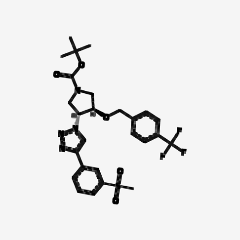 CC(C)(C)OC(=O)N1C[C@@H](n2cc(-c3cccc(S(C)(=O)=O)c3)nn2)[C@H](OCc2ccc(C(F)(F)F)cc2)C1